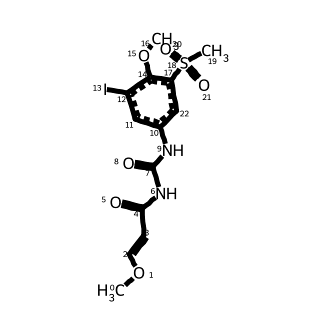 COC=CC(=O)NC(=O)Nc1cc(I)c(OC)c(S(C)(=O)=O)c1